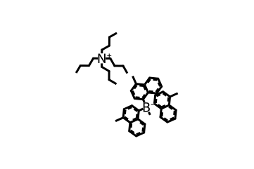 CCCC[N+](CCCC)(CCCC)CCCC.Cc1ccc([B-](C)(c2ccc(C)c3ccccc23)c2ccc(C)c3ccccc23)c2ccccc12